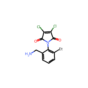 CCc1cccc(CN)c1N1C(=O)C(Cl)=C(Cl)C1=O